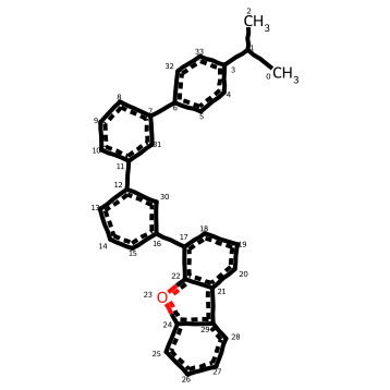 CC(C)c1ccc(-c2cccc(-c3cccc(-c4cccc5c4oc4ccccc45)c3)c2)cc1